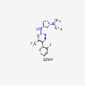 COc1ccc(-c2cnc(NC3CCC(N(C)C)C3)nc2C(F)(F)F)c(F)c1